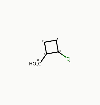 O=C(O)C1CCC1Cl